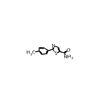 Cc1ccc(-c2ncc(C(N)=O)s2)cc1